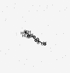 Cc1cccc(OCCCC(=O)N2CCCc3c(-c4cccc(COC(=O)NC(CCP(=O)(O)O)C(=O)O)c4)cccc32)c1C